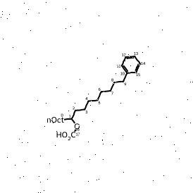 CCCCCCCCC(CCCCCCCCc1ccccc1)OC(=O)O